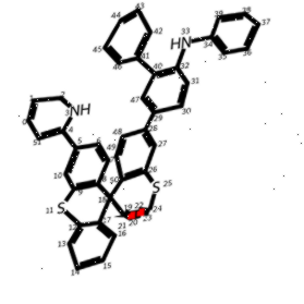 C1=CCNC(c2ccc3c(c2)Sc2ccccc2C32c3ccccc3Sc3cc(-c4ccc(Nc5ccccc5)c(-c5ccccc5)c4)ccc32)=C1